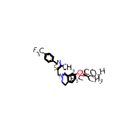 Cc1nc(-c2ccc(C(F)(F)F)cc2)sc1CN1CCc2ccc(OC(C)(C)C(=O)O)cc2C1